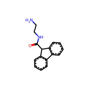 NCCNC(=O)C1c2ccccc2-c2ccccc21